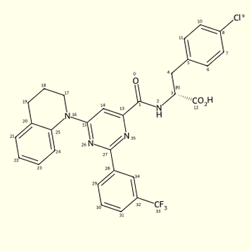 O=C(N[C@H](Cc1ccc(Cl)cc1)C(=O)O)c1cc(N2CCCc3ccccc32)nc(-c2cccc(C(F)(F)F)c2)n1